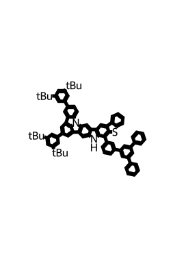 CC(C)(C)c1cc(-c2ccc3c(c2)c2cc(-c4cc(C(C)(C)C)cc(C(C)(C)C)c4)cc4c5cc6[nH]c7c(-c8cccc(-c9cc(-c%10ccccc%10)cc(-c%10ccccc%10)c9)c8)c8sc9ccccc9c8cc7c6cc5n3c24)cc(C(C)(C)C)c1